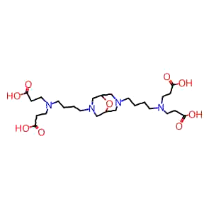 O=C(O)CCN(CCCCN1CC2CN(CCCCN(CCC(=O)O)CCC(=O)O)CC(C1)O2)CCC(=O)O